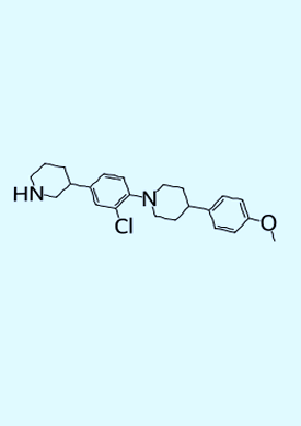 COc1ccc(C2CCN(c3ccc(C4CCCNC4)cc3Cl)CC2)cc1